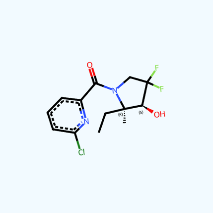 CC[C@]1(C)[C@H](O)C(F)(F)CN1C(=O)c1cccc(Cl)n1